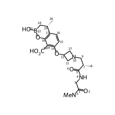 CNC(=O)CNC(=O)[C@@H](C)CN1CC(Oc2ccc3c(c2C(=O)O)OB(O)C[C@@H]3C)C1